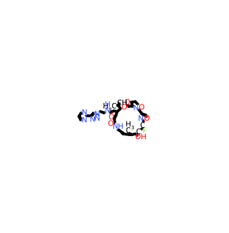 CC1=C\C(O)CC(F)Cc2nc(co2)C(=O)N2CCCC2C(=O)OC(C(C)C)C(CC(=O)NCCn2cc(-c3ncccn3)nn2)/C=C/C(=O)NC\C=C\1